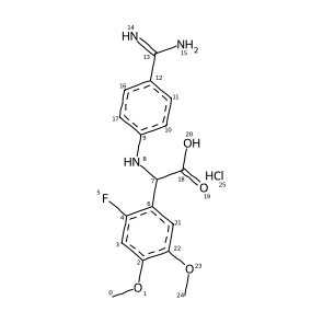 COc1cc(F)c(C(Nc2ccc(C(=N)N)cc2)C(=O)O)cc1OC.Cl